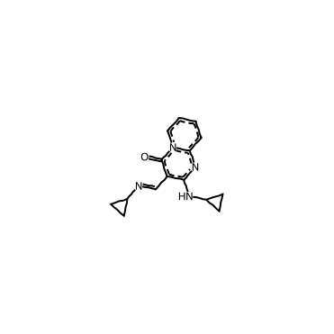 O=c1c(C=NC2CC2)c(NC2CC2)nc2ccccn12